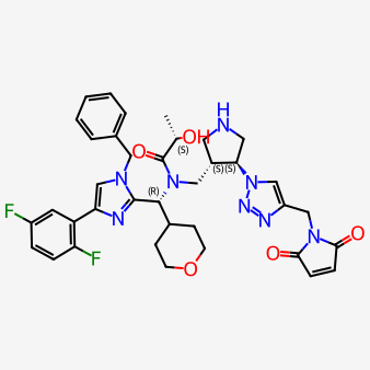 C[C@H](O)C(=O)N(C[C@@H]1CNC[C@H]1n1cc(CN2C(=O)C=CC2=O)nn1)[C@@H](c1nc(-c2cc(F)ccc2F)cn1Cc1ccccc1)C1CCOCC1